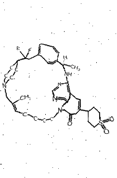 C/C1=C\CCCCn2c(=O)c(C3CCS(=O)(=O)CC3)cc3c(ncnc32)N[C@H](C)c2cccc(c2)C(F)(F)C2CCN(CC2)C1